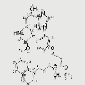 COCCCOc1ccc([C@H]2C[C@H](C[C@@H](C)c3nnn[nH]3)NC[C@@H]2OCc2ccc3c(c2)N(CCCOC)CCO3)cc1